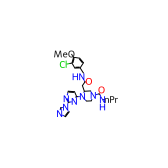 CCCNC(=O)N1CCN(c2ccnc(-n3ccnc3)n2)C(CC(=O)NCc2ccc(OC)c(Cl)c2)C1